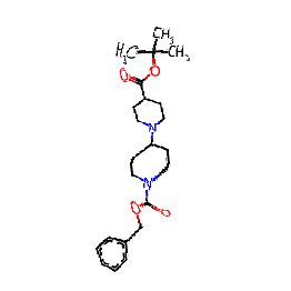 CC(C)(C)OC(=O)C1CCN(C2CCN(C(=O)OCc3ccccc3)CC2)CC1